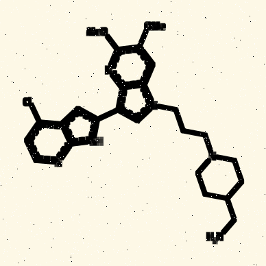 COc1cc2c(nc1OC)c(-c1cc3c(Cl)ccnc3[nH]1)cn2CCCN1CCC(CN)CC1